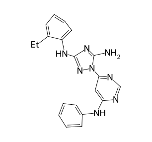 CCc1ccccc1Nc1nc(N)n(-c2cc(Nc3ccccc3)ncn2)n1